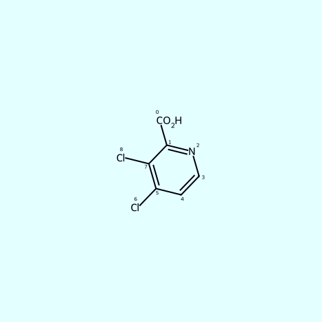 O=C(O)c1nccc(Cl)c1Cl